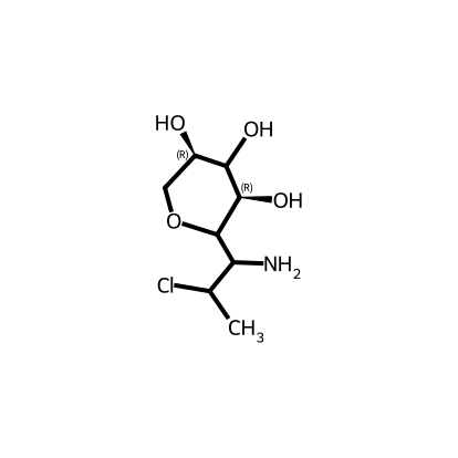 CC(Cl)C(N)C1OC[C@@H](O)C(O)[C@H]1O